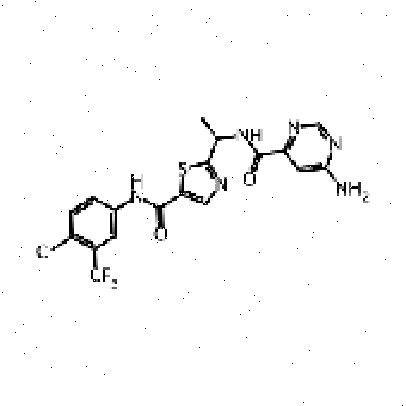 C[C@@H](NC(=O)c1cc(N)ncn1)c1ncc(C(=O)Nc2ccc(Cl)c(C(F)(F)F)c2)s1